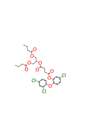 CCCC(=O)OCC(COC(=O)CCC)OC(=O)CCC(=O)Oc1cc(Cl)ccc1Oc1ccc(Cl)cc1Cl